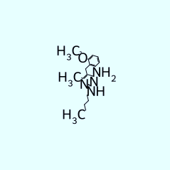 CCCCCNc1nc(C)c(Cc2ccccc2OCC)c(N)n1